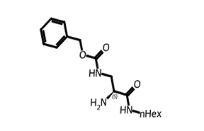 CCCCCCNC(=O)[C@@H](N)CNC(=O)OCc1ccccc1